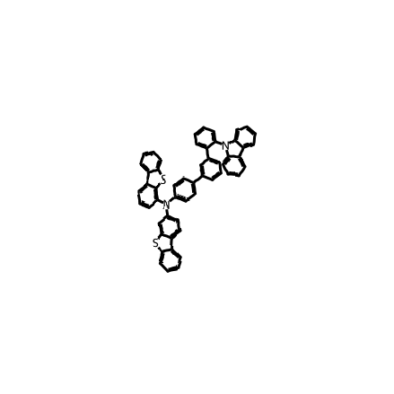 c1cc(-c2ccc(N(c3ccc4c(c3)sc3ccccc34)c3cccc4c3sc3ccccc34)cc2)cc(-c2ccccc2-n2c3ccccc3c3ccccc32)c1